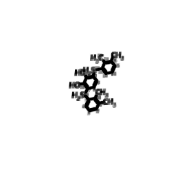 Cc1cccc([SiH2]c2ccc([SiH2]c3cccc(C)c3C)c(O)c2O)c1C